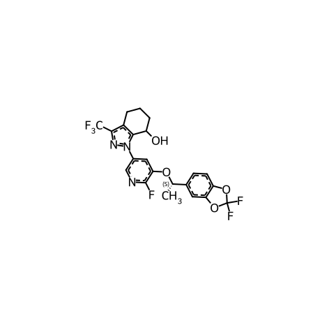 C[C@H](Oc1cc(-n2nc(C(F)(F)F)c3c2C(O)CCC3)cnc1F)c1ccc2c(c1)OC(F)(F)O2